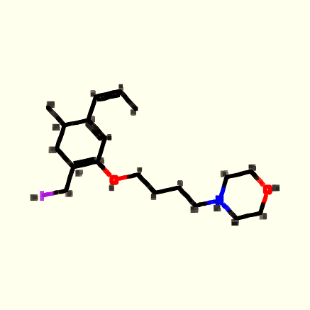 C/C=C\C1=CC(OCCCCN2CCOCC2)=C(CI)CC1C